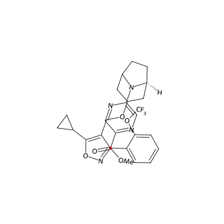 COC(=O)c1cnc(N2C3CC[C@H]2CC(OCc2c(-c4ccccc4OC(F)(F)F)noc2C2CC2)C3)cn1